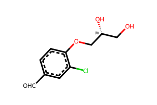 O=Cc1ccc(OC[C@H](O)CO)c(Cl)c1